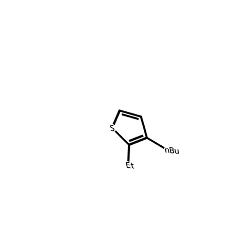 CCCCc1ccsc1CC